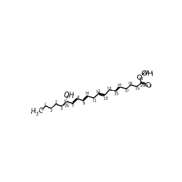 CCCCC[C@H](O)C=CC=CCC=CCC=CCCCC(=O)OO